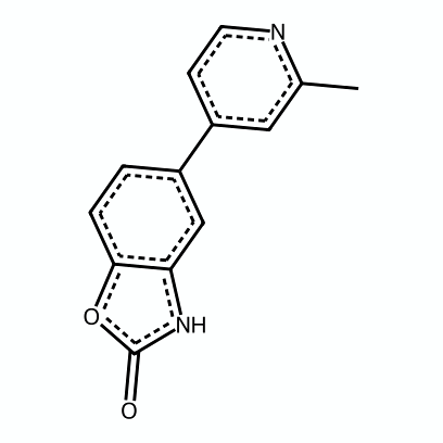 Cc1cc(-c2ccc3oc(=O)[nH]c3c2)ccn1